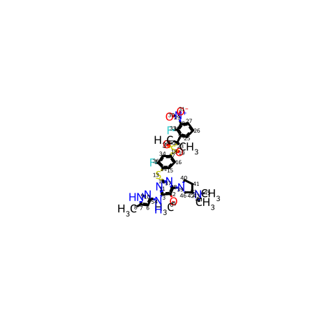 COc1c(Nc2cc(C)[nH]n2)nc(Sc2ccc(S(=O)(=O)C(C)(C)c3cccc([N+](=O)[O-])c3F)cc2F)nc1N1CC[C@H](N(C)C)C1